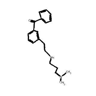 CN(C)CCCNCCc1cccc(C(=O)c2ccccc2)c1